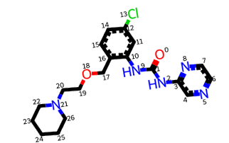 O=C(Nc1cnccn1)Nc1cc(Cl)ccc1COCCN1CCCCC1